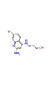 Nc1cc(NCCCO)c2ccc(Br)cc2n1